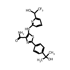 CC(C)(O)c1ccc(-c2nc(C(N)=O)c(Nc3cccc(C(O)C(F)(F)F)n3)s2)cc1